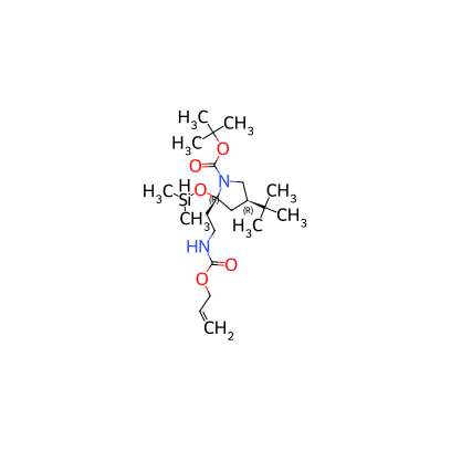 C=CCOC(=O)NCC[C@]1(O[SiH](C)C)C[C@H](C(C)(C)C)CN1C(=O)OC(C)(C)C